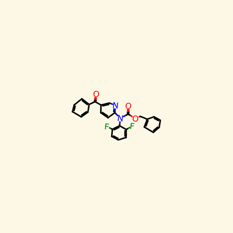 O=C(c1ccccc1)c1ccc(N(C(=O)OCc2ccccc2)c2c(F)cccc2F)nc1